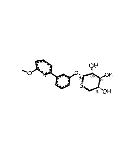 COc1cccc(-c2cccc(O[C@H]3SC[C@@H](O)[C@H](O)[C@H]3O)c2)n1